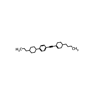 CCCCC1CC=C(C#Cc2ccc(C3CCC(CCC)CC3)cc2)CC1